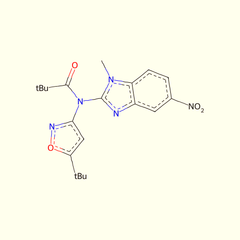 Cn1c(N(C(=O)C(C)(C)C)c2cc(C(C)(C)C)on2)nc2cc([N+](=O)[O-])ccc21